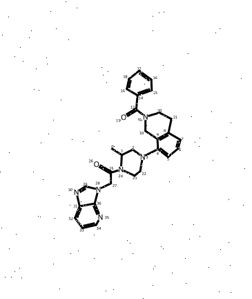 CC1CN(c2cccc3c2CN(C(=O)c2ccccc2)CC3)CCN1C(=O)Cn1cnc2cccnc21